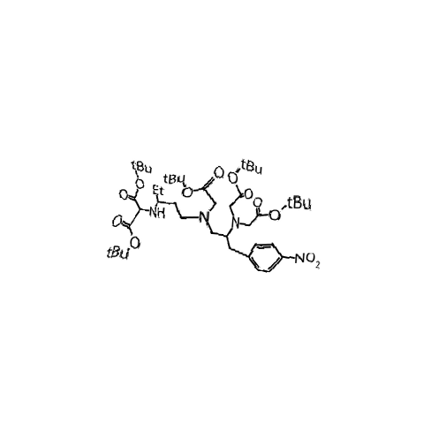 CCC(CCN(CC(=O)OC(C)(C)C)CC(Cc1ccc([N+](=O)[O-])cc1)N(CC(=O)OC(C)(C)C)CC(=O)OC(C)(C)C)NC(C(=O)OC(C)(C)C)C(=O)OC(C)(C)C